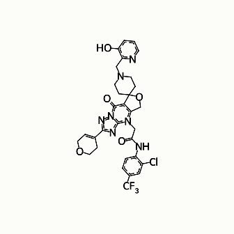 O=C(Cn1c2c(c(=O)n3nc(C4=CCOCC4)nc13)C1(CCN(Cc3ncccc3O)CC1)OC2)Nc1ccc(C(F)(F)F)cc1Cl